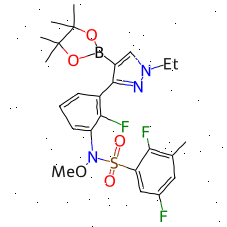 CCn1cc(B2OC(C)(C)C(C)(C)O2)c(-c2cccc(N(OC)S(=O)(=O)c3cc(F)cc(C)c3F)c2F)n1